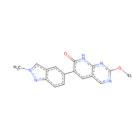 CCOc1ncc2cc(-c3ccc4nn(C)cc4c3)c(=O)[nH]c2n1